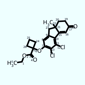 CCOC(=O)C1(Oc2cc3c(c(Cl)c2Cl)C2=CC(=O)CCC2(C)C3)CCC1